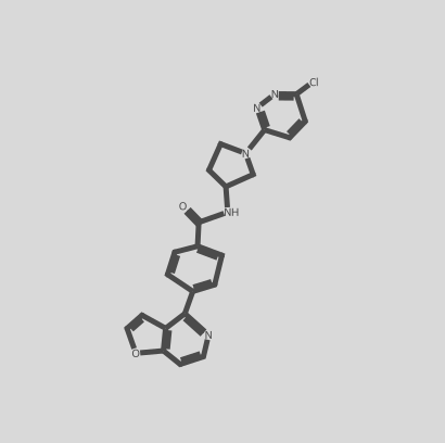 O=C(NC1CCN(c2ccc(Cl)nn2)C1)c1ccc(-c2nccc3occc23)cc1